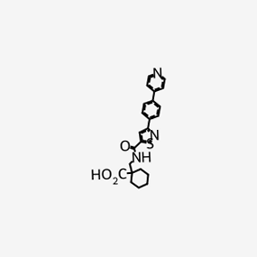 O=C(NCC1(C(=O)O)CCCCC1)c1cc(-c2ccc(-c3ccncc3)cc2)ns1